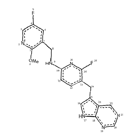 COc1ncc(F)cc1CNc1ccc(Cc2c[nH]c3ncncc23)c(F)n1